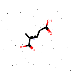 C/C(=C\CC(=O)O)C(=O)O